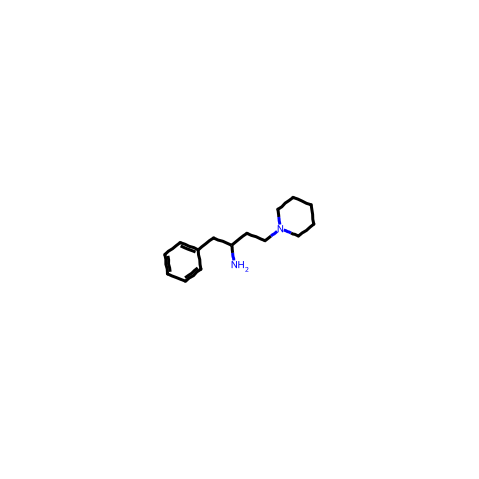 NC(CCN1CCCCC1)Cc1ccccc1